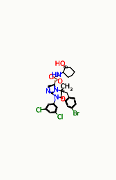 C[C@@]1(Cc2ccc(Br)cc2)C(=O)N(c2cc(Cl)cc(Cl)c2)c2ncc(S(=O)(=O)NC3CCCC[C@H]3O)n21